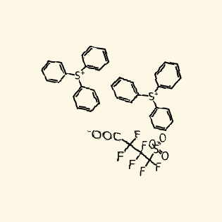 O=C([O-])C(F)(F)C(F)(F)C(F)(F)S(=O)(=O)[O-].c1ccc([S+](c2ccccc2)c2ccccc2)cc1.c1ccc([S+](c2ccccc2)c2ccccc2)cc1